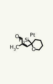 CC(C=O)=CC1([SiH3])CCCCO1.[Pt]